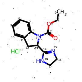 CCOC(=O)N1c2ccccc2CC1C1=NCCN1.Cl